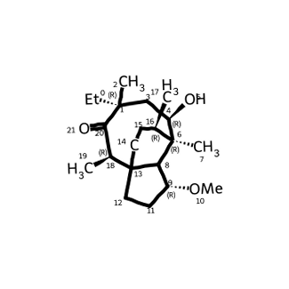 CC[C@]1(C)C[C@@H](O)[C@@]2(C)C3[C@H](OC)CCC3(CC[C@H]2C)[C@@H](C)C1=O